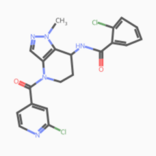 Cn1ncc2c1C(NC(=O)c1ccccc1Cl)CCN2C(=O)c1ccnc(Cl)c1